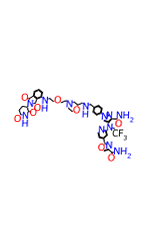 NC(=O)c1coc(-c2ccnc(N(CC(F)(F)F)c3cn(-c4ccc(CNCC5CN(CCOCCNc6cccc7c6C(=O)N(C6CCC(=O)NC6=O)C7=O)CCO5)cc4)nc3C(N)=O)c2)n1